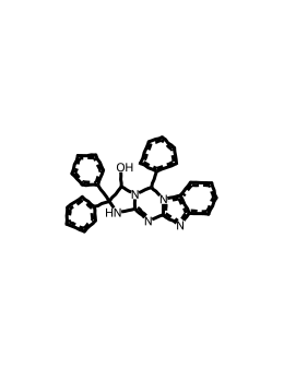 OC1N2C(=Nc3nc4ccccc4n3C2c2ccccc2)NC1(c1ccccc1)c1ccccc1